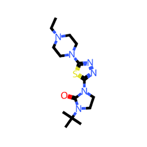 CCN1CCN(c2nnc(N3CCN(C(C)(C)C)C3=O)s2)CC1